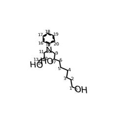 OCCCCCCC(O)CN(CCCO)c1ccccc1